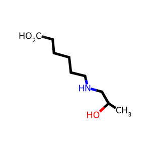 CC(O)CNCCCCCC(=O)O